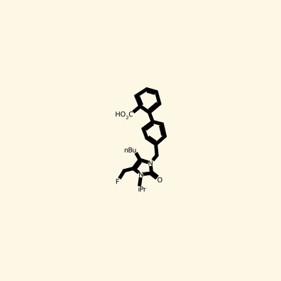 CCCCc1c(CF)n(C(C)C)c(=O)n1Cc1ccc(-c2ccccc2C(=O)O)cc1